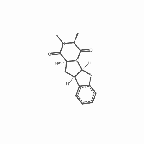 C[C@H]1C(=O)N2[C@@H](C[C@@H]3c4ccccc4N[C@@H]32)C(=O)N1C